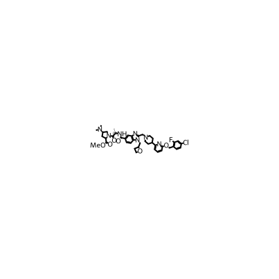 COC(=O)C1CC(N(C)C)CN1C(=O)[C@H](C)NC(=O)c1ccc2c(c1)nc(CN1CCC(c3cccc(OCc4ccc(Cl)cc4F)n3)CC1)n2CC1CCO1